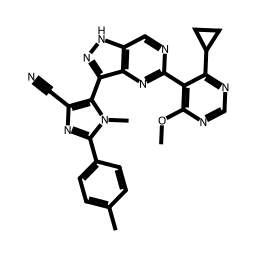 COc1ncnc(C2CC2)c1-c1ncc2[nH]nc(-c3c(C#N)nc(-c4ccc(C)cc4)n3C)c2n1